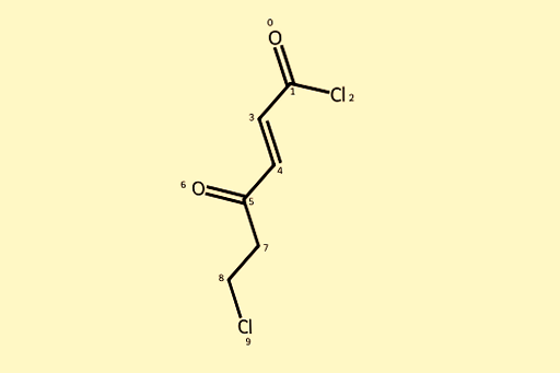 O=C(Cl)C=CC(=O)CCCl